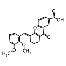 COc1cccc(C=C2CCCc3c2oc2ccc(C(=O)O)cc2c3=O)c1OC